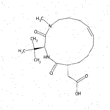 CN1CCCC=CCCC[C@H](CC(=O)O)C(=O)N[C@@H](C(C)(C)C)C1=O